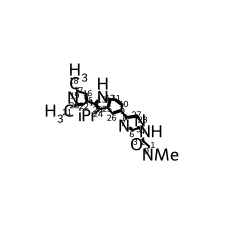 CNCC(=O)Nc1cnc(-c2ccc3[nH]c(-c4cc(C)nc(C)c4)c(C(C)C)c3c2)cn1